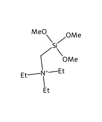 CC[N+](CC)(CC)C[Si](OC)(OC)OC